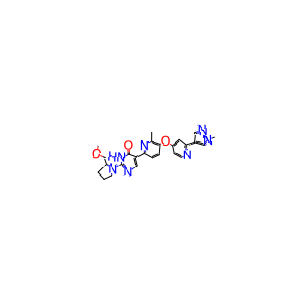 COCC1CCCN1c1ncc(-c2ccc(Oc3ccnc(-c4cnn(C)c4)c3)c(C)n2)c(=O)[nH]1